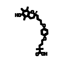 Cc1c(C)c2c(c(C)c1O)CC[C@](C)(C=CCCOc1ccc(OCCCC(C)(C)C(=O)O)cc1)O2